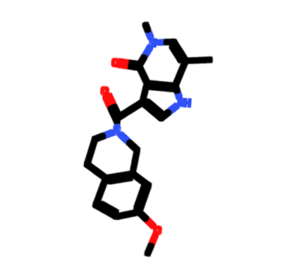 COc1ccc2c(c1)CN(C(=O)c1c[nH]c3c(C)cn(C)c(=O)c13)CC2